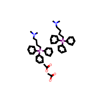 CC(=O)[O-].CC(=O)[O-].CN(C)CCCC[P+](c1ccccc1)(c1ccccc1)c1ccccc1.CN(C)CCCC[P+](c1ccccc1)(c1ccccc1)c1ccccc1